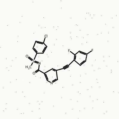 CS(=O)(=NC(=O)c1cncc(C#Cc2ccc(F)cc2F)c1)c1ccc(Cl)cc1